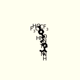 Cc1n[nH]cc1-c1ccc2nc(NC(=O)c3ccc(C(O)(C(F)(F)F)C(F)(F)F)cc3)sc2n1